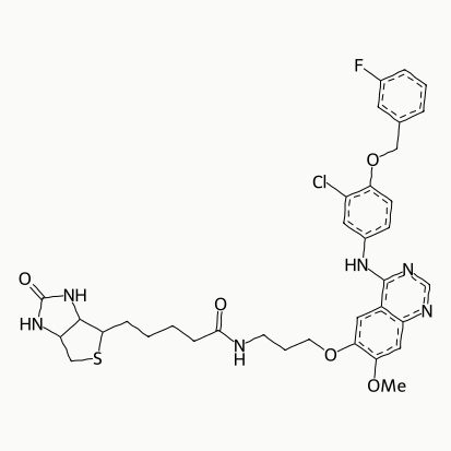 COc1cc2ncnc(Nc3ccc(OCc4cccc(F)c4)c(Cl)c3)c2cc1OCCCNC(=O)CCCCC1SCC2NC(=O)NC21